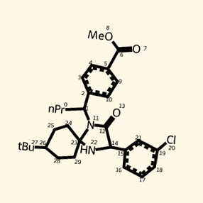 CCCC(c1ccc(C(=O)OC)cc1)N1C(=O)C(c2cccc(Cl)c2)NC12CCC(C(C)(C)C)CC2